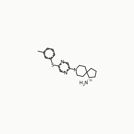 Cc1cccc(Sc2cnc(N3CCC4(CCC[C@@H]4N)CC3)cn2)c1